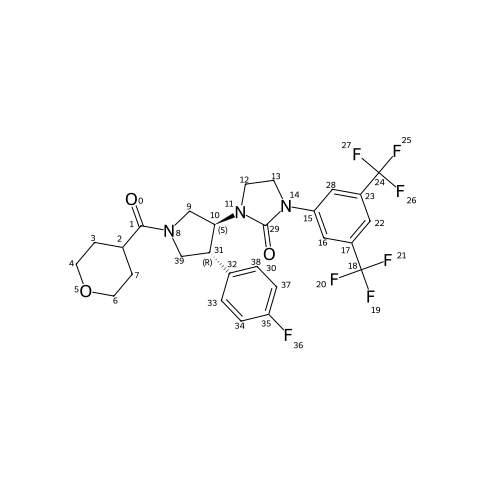 O=C(C1CCOCC1)N1C[C@@H](N2CCN(c3cc(C(F)(F)F)cc(C(F)(F)F)c3)C2=O)[C@H](c2ccc(F)cc2)C1